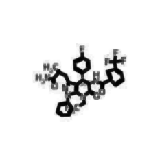 C=C(Cc1nn(-c2ccccc2)c2c1[C@@H](c1ccc(F)cc1)[C@@H](NC(=O)c1cccc(C(F)(F)F)c1)C(=O)N2CC)C(N)=O